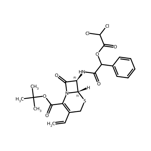 C=CC1=C(C(=O)OC(C)(C)C)N2C(=O)[C@@H](NC(=O)C(OC(=O)C(Cl)Cl)c3ccccc3)[C@@H]2SC1